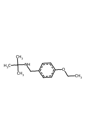 CCOc1ccc(CNC(C)(C)C)cc1